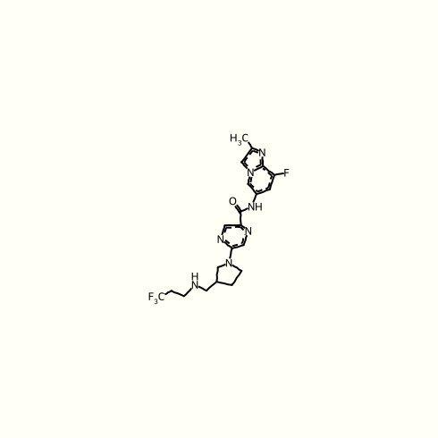 Cc1cn2cc(NC(=O)c3cnc(N4CCC(CNCCC(F)(F)F)C4)cn3)cc(F)c2n1